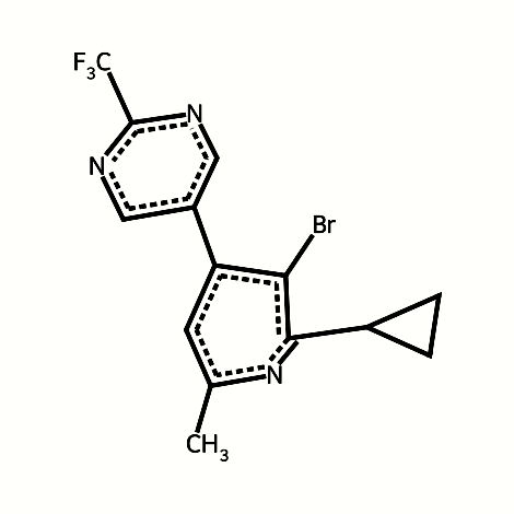 Cc1cc(-c2cnc(C(F)(F)F)nc2)c(Br)c(C2CC2)n1